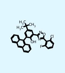 CC(C)(C)c1cc(-c2noc(-c3c(F)cccc3Cl)n2)c(O)c(-c2c3ccccc3cc3ccccc23)c1